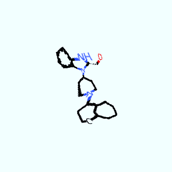 O=C[C@H]1Nc2ccccc2N1C1CCN(C2CCCC3CCCCC32)CC1